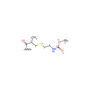 CNC(=O)C(C)CSCCNC(=O)OC(C)(C)C